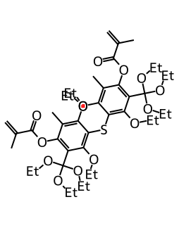 C=C(C)C(=O)Oc1c(C)c(OCC)c(Sc2c(OCC)c(C)c(OC(=O)C(=C)C)c(C(OCC)(OCC)OCC)c2OCC)c(OCC)c1C(OCC)(OCC)OCC